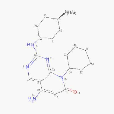 CC(=O)N[C@H]1CC[C@H](Nc2ncc3c(N)cc(=O)n(C4CCCCC4)c3n2)CC1